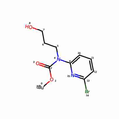 CC(C)(C)OC(=O)N(CCCO)c1cccc(Br)n1